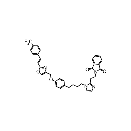 O=C1c2ccccc2C(=O)N1CCc1nccn1CCCCc1ccc(OCc2coc(C=Cc3ccc(C(F)(F)F)cc3)n2)cc1